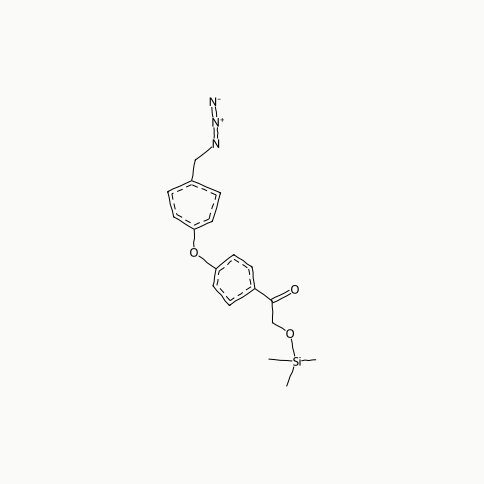 C[Si](C)(C)OCC(=O)c1ccc(Oc2ccc(CN=[N+]=[N-])cc2)cc1